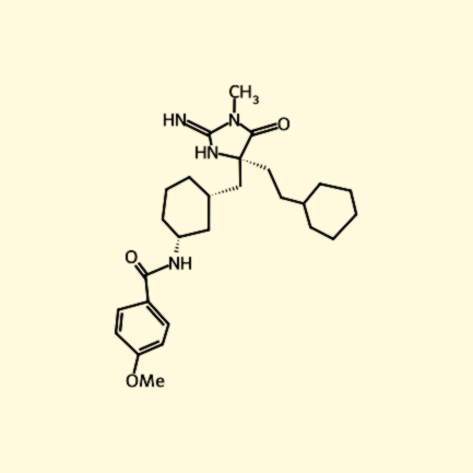 CN1C(=N)N[C@](CCC2CCCCC2)(C[C@H]2CCC[C@@H](NC(=O)c3ccc(O[3CH3])cc3)C2)C1=O